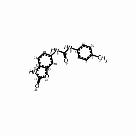 Cc1ccc(NC(=O)Nc2ccc3[nH]c(=O)oc3c2)cc1